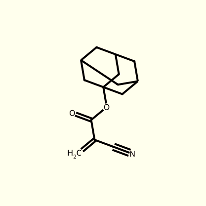 C=C(C#N)C(=O)OC12CC3CC(CC(C3)C1)C2